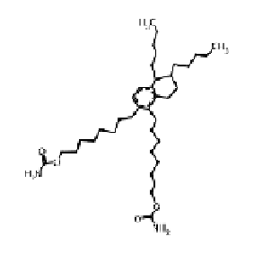 CCCCCC1CCc2c(ccc(CCCCCCCCOC(N)=O)c2CCCCCCCCOC(N)=O)C1CCCCC